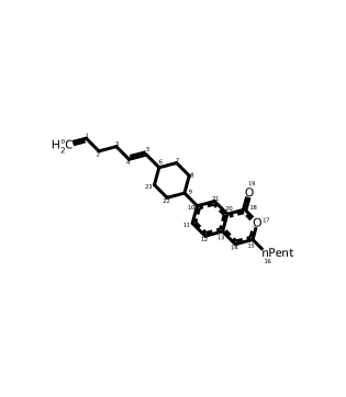 C=CCC/C=C/C1CCC(c2ccc3cc(CCCCC)oc(=O)c3c2)CC1